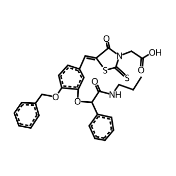 CCCNC(=O)C(Oc1cc(C=C2SC(=S)N(CC(=O)O)C2=O)ccc1OCc1ccccc1)c1ccccc1